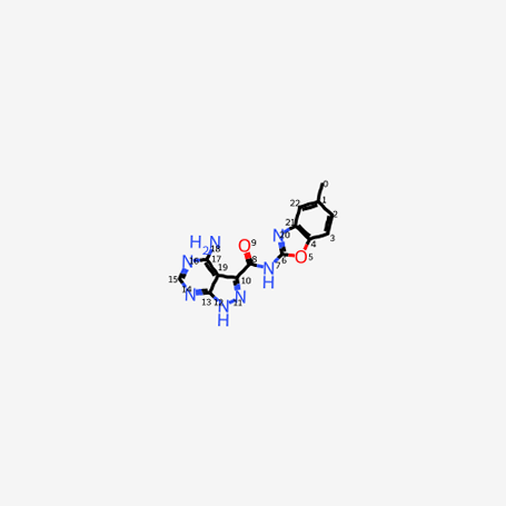 Cc1ccc2oc(NC(=O)c3n[nH]c4ncnc(N)c34)nc2c1